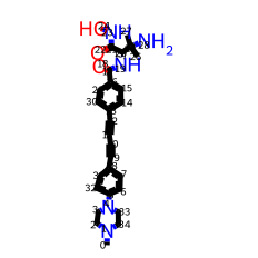 CN1CCN(c2ccc(C#CC#Cc3ccc(C(=O)N[C@H](C(=O)NO)C(C)(C)N)cc3)cc2)CC1